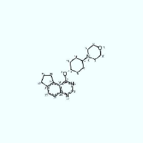 c1nc(O[C@H]2CC[C@H](N3CCOCC3)CC2)c2c3c(ccc2n1)CCC3